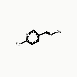 ON=Cc1ccc(C(F)(F)F)nc1